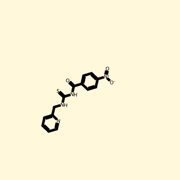 O=C(NC(=S)NCc1ccccn1)c1ccc([N+](=O)[O-])cc1